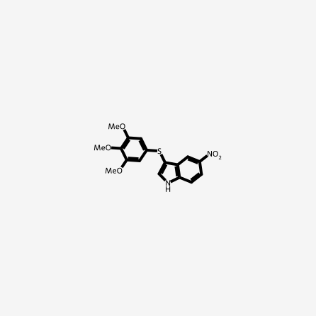 COc1cc(Sc2c[nH]c3ccc([N+](=O)[O-])cc23)cc(OC)c1OC